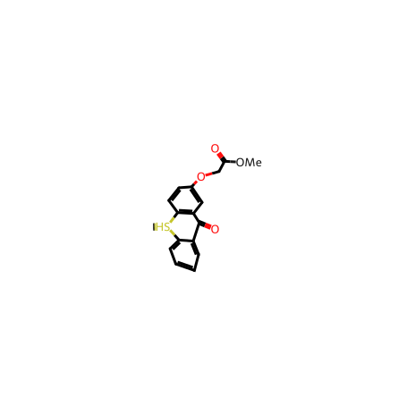 C#[SH]1c2ccccc2C(=O)c2cc(OCC(=O)OC)ccc21